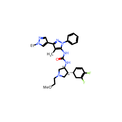 CCn1cc(-c2nn(-c3ccccc3)c(NC(=O)N[C@@H]3CN(CCOC)C[C@H]3C3C=CC(F)=C(F)C3)c2C)cn1